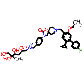 CCOc1cc(-c2ccc(F)cc2)c(C2CC2)cc1CN1CCC2(CC1)CN(c1ccc(CNC[C@H](O)C[C@H](O)C(C)(O)CO)cc1)C(=O)O2